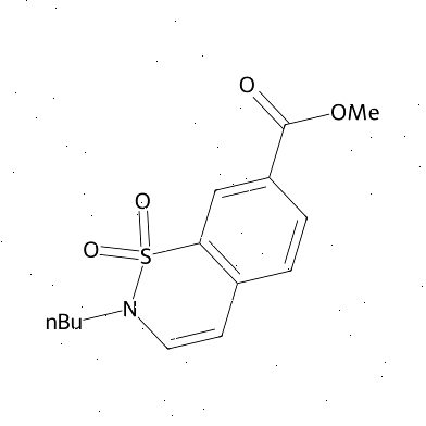 CCCCN1C=Cc2ccc(C(=O)OC)cc2S1(=O)=O